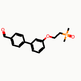 CP(C)(=O)CCOc1cccc(-c2ccc(C=O)cc2)c1